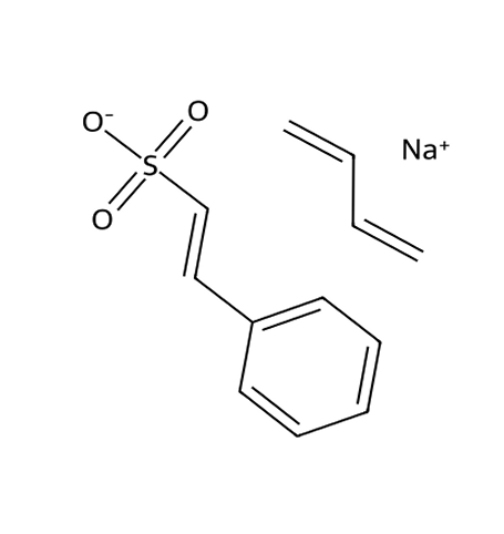 C=CC=C.O=S(=O)([O-])C=Cc1ccccc1.[Na+]